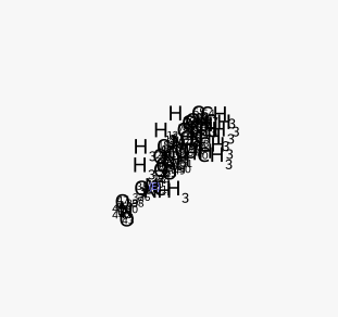 CC[C@H](C)[C@@H]([C@H](O)CC(=O)N1CCC[C@H]1[C@H](O)[C@@H](C)C(=O)N[C@H](C)[C@@H](OC(=O)CC/C(C)=N/NC(=O)CCCCCN1C(=O)C=CC1=O)c1ccccc1)N(C)C(=O)[C@@H](NC(=O)[C@H](C(C)C)N(C)C)C(C)C